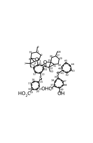 CC1CCC2C(C)(C)C2(Oc2ccc(Sc3ccc(C(=O)O)cc3)cc2OC23CC(C)CCC2C3(C)C)C1.O=Cc1cc(Sc2ccccc2)ccc1O